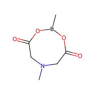 CB1OC(=O)CN(C)CC(=O)O1